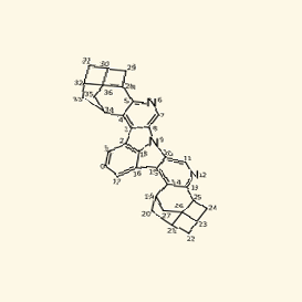 c1cc2c3c4c(ncc3n3c5cnc6c(c5c(c1)c23)C1CC2CC3CC6C23C1)C1CC2CC3CC4CC321